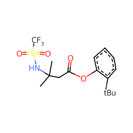 CC(C)(CC(=O)Oc1ccccc1C(C)(C)C)NS(=O)(=O)C(F)(F)F